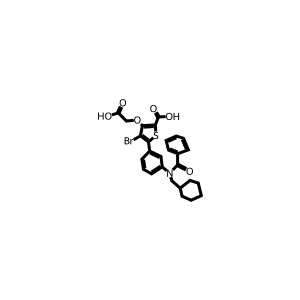 O=C(O)COc1c(C(=O)O)sc(-c2cccc(N(CC3CCCCC3)C(=O)c3ccccc3)c2)c1Br